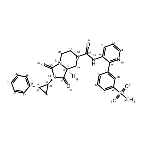 CS(=O)(=O)c1cccc(-c2ncccc2NC(=O)N2CCN3C(=O)N([C@H]4C[C@@H]4c4ccccc4)C(=O)[C@@H]3C2)c1